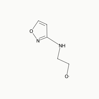 [O]CCNc1ccon1